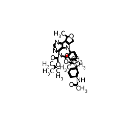 CC(=O)Nc1cccc(Oc2ccc(-n3c4c(c5ncnc(N(C(=O)OC(C)(C)C)C(=O)OC(C)(C)C)c53)C(C)OC4)cc2)c1